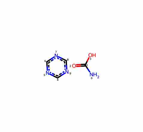 NC(=O)O.c1ncncn1